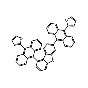 c1coc(-c2c3ccccc3c(-c3ccc4c(c3)sc3cccc(-c5c6ccccc6c(-c6ccco6)c6ccccc56)c34)c3ccccc23)c1